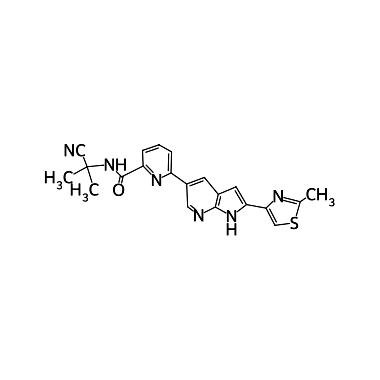 Cc1nc(-c2cc3cc(-c4cccc(C(=O)NC(C)(C)C#N)n4)cnc3[nH]2)cs1